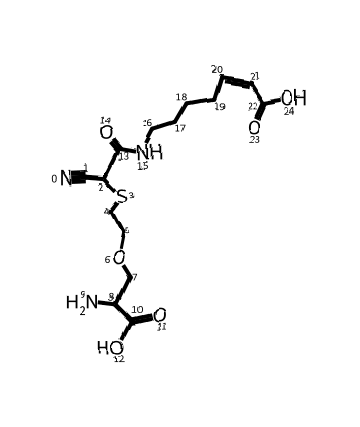 N#CC(SCCOCC(N)C(=O)O)C(=O)NCCCC/C=C\C(=O)O